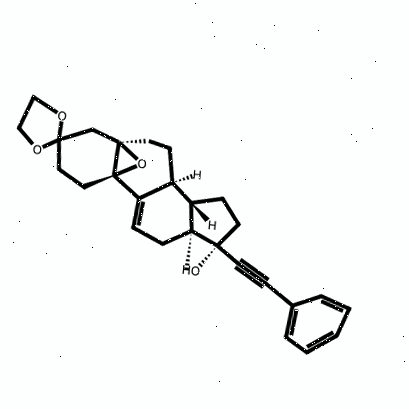 C[C@]12CC=C3[C@@H](CC[C@@]45CC6(CC[C@@]34O5)OCCO6)[C@@H]1CC[C@@]2(O)C#Cc1ccccc1